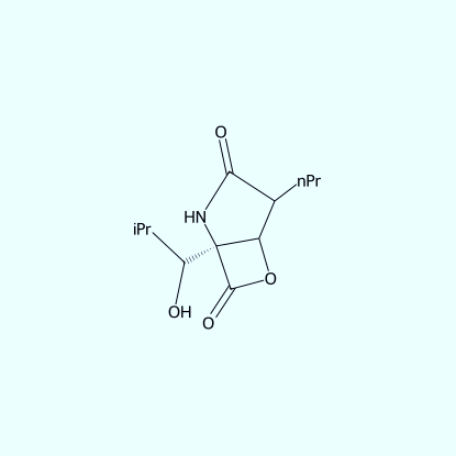 CCCC1C(=O)N[C@]2(C(O)C(C)C)C(=O)OC12